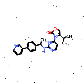 CC(Nc1nccc(N2C(=O)OC[C@@H]2C(C)C)n1)c1ccc(-c2cccnc2)cc1